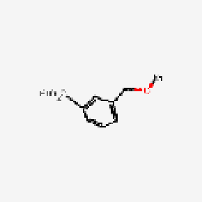 CCOCc1cccc(C(=O)OCC)c1